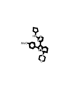 COc1ccc(-c2nn3c(N4CCOCC4)cccc3c2-c2ccnc(NC3CCCC3)n2)cc1